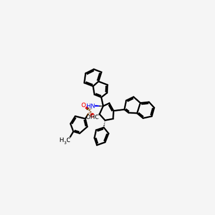 Cc1ccc(S(=O)(=O)N[C@@]2(c3ccc4ccccc4c3)C=C(c3ccc4ccccc4c3)C[C@H](c3ccccc3)[C@H]2C=O)cc1